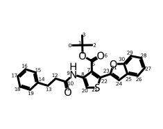 CC(C)(C)OC(=O)c1c(NC(=O)CCc2ccccc2)csc1-c1cc2ccccc2o1